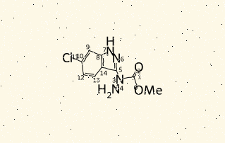 COC(=O)N(N)c1n[nH]c2cc(Cl)ccc12